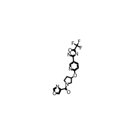 O=C(c1cocn1)N1CCC(Oc2ccc(-c3noc(C(F)(F)F)n3)cn2)C1